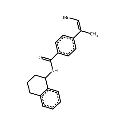 C/C(=C/C(C)(C)C)c1ccc(C(=O)NC2CCCc3ccccc32)cc1